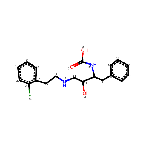 O=C(O)NC(Cc1ccccc1)C(O)CNCCc1ccccc1F